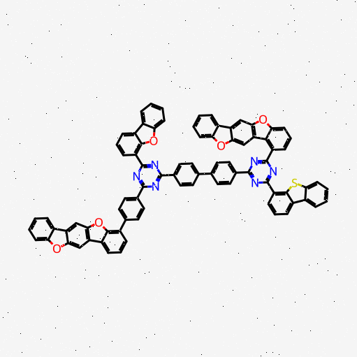 c1ccc2c(c1)oc1cc3c(cc12)oc1c(-c2ccc(-c4nc(-c5ccc(-c6ccc(-c7nc(-c8cccc9c8sc8ccccc89)nc(-c8cccc9oc%10cc%11c(cc%10c89)oc8ccccc8%11)n7)cc6)cc5)nc(-c5cccc6c5oc5ccccc56)n4)cc2)cccc13